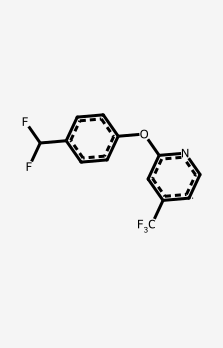 FC(F)c1ccc(Oc2cc(C(F)(F)F)[c]cn2)cc1